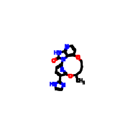 CC1CCCOc2ccnc3[nH]c(=O)n(c23)-c2ccc(-c3ncc[nH]3)c(n2)O1